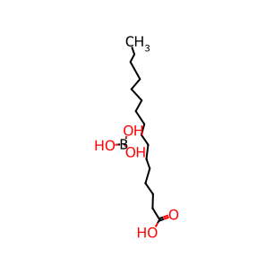 CCCCCCCCCCCCCCCC(=O)O.OB(O)O